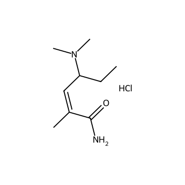 CCC(C=C(C)C(N)=O)N(C)C.Cl